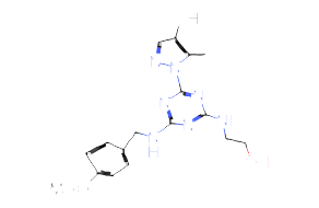 COc1ccc(CNc2nc(NCCO)nc(-n3ncc(C=O)c3C)n2)cc1